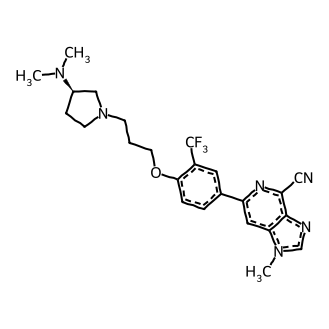 CN(C)[C@@H]1CCN(CCCOc2ccc(-c3cc4c(ncn4C)c(C#N)n3)cc2C(F)(F)F)C1